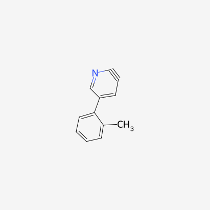 Cc1ccccc1-c1cc#cnc1